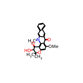 COc1cc2c(c3c1c(=O)c1cc4ccccc4cc1n3C)C(=O)C(O)C(C)(C)O2